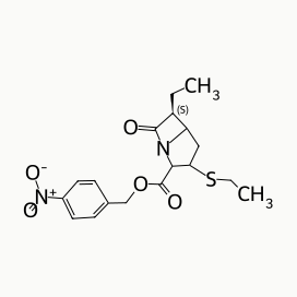 CCSC1CC2[C@H](CC)C(=O)N2C1C(=O)OCc1ccc([N+](=O)[O-])cc1